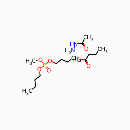 CC(=O)NN.CCCC(=O)O.CCCCOP(=O)(OC)OCCCC